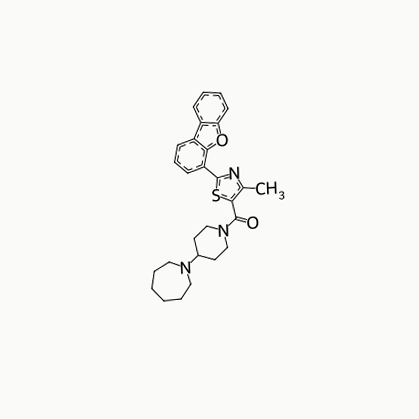 Cc1nc(-c2cccc3c2oc2ccccc23)sc1C(=O)N1CCC(N2CCCCCC2)CC1